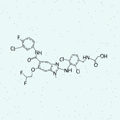 Cn1c(Nc2c(Cl)ccc(CNC(=O)CO)c2Cl)nc2cc(C(=O)Nc3ccc(F)c(Cl)c3)c(OCC(F)F)cc21